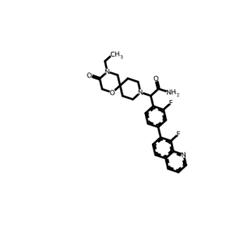 CCN1CC2(CCN(C(C(N)=O)c3ccc(-c4ccc5cccnc5c4F)cc3F)CC2)OCC1=O